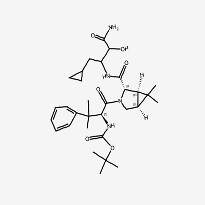 CC(C)(C)OC(=O)N[C@H](C(=O)N1C[C@H]2[C@@H]([C@H]1C(=O)NC(CC1CC1)C(O)C(N)=O)C2(C)C)C(C)(C)c1ccccc1